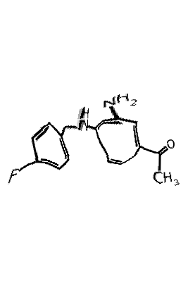 CC(=O)c1ccc(Nc2ccc(F)cc2)c(N)c1